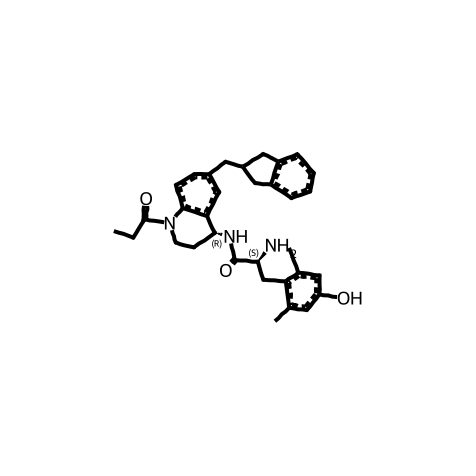 CCC(=O)N1CC[C@@H](NC(=O)[C@@H](N)Cc2c(C)cc(O)cc2C)c2cc(CC3Cc4ccccc4C3)ccc21